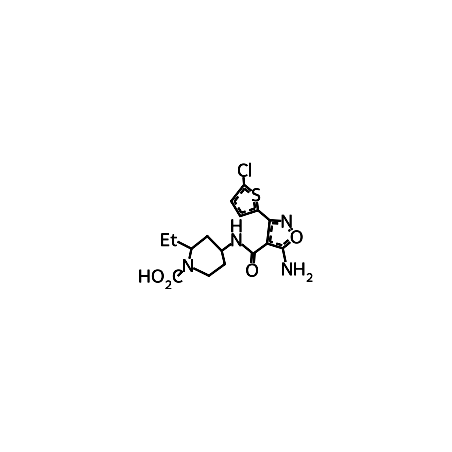 CCC1CC(NC(=O)c2c(-c3ccc(Cl)s3)noc2N)CCN1C(=O)O